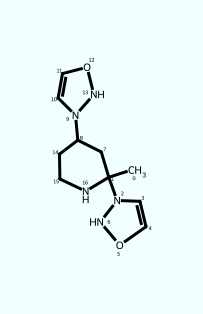 CC1(N2C=CON2)CC(N2C=CON2)CCN1